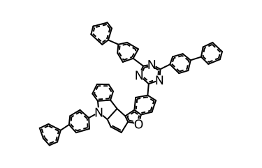 C1=CC2C(c3ccccc3N2c2ccc(-c3ccccc3)cc2)c2c1oc1ccc(-c3nc(-c4ccc(-c5ccccc5)cc4)nc(-c4ccc(-c5ccccc5)cc4)n3)cc21